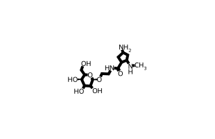 CNC1CC(N)CC1C(=O)NCCO[C@@H]1OC(CO)[C@H](O)C(O)C1O